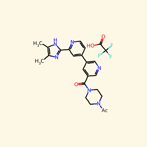 CC(=O)N1CCN(C(=O)c2cncc(-c3ccnc(-c4nc(C)c(C)[nH]4)c3)c2)CC1.O=C(O)C(F)(F)F